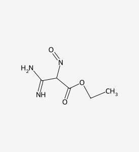 CCOC(=O)C(N=O)C(=N)N